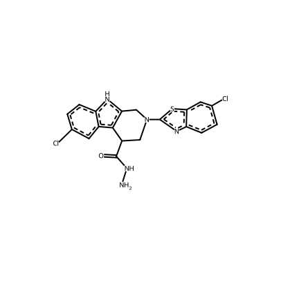 NNC(=O)C1CN(c2nc3ccc(Cl)cc3s2)Cc2[nH]c3ccc(Cl)cc3c21